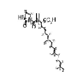 CC(C)=CCC/C(C)=C/CC/C(C)=C/CSC[C@H](NC(=O)N1CCNC1=O)C(=O)O